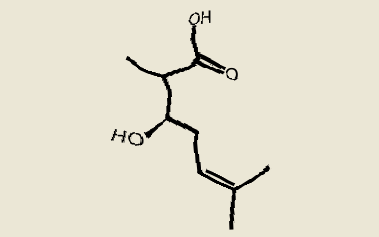 CC(C)=CC[C@@H](O)C(C)C(=O)O